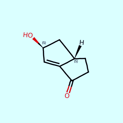 O=C1CC[C@H]2C[C@H](O)C=C12